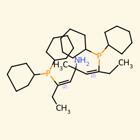 CC/C(=C/C(C)(N)/C=C(/CC)P(C1CCCCC1)C1CCCCC1)P(C1CCCCC1)C1CCCCC1